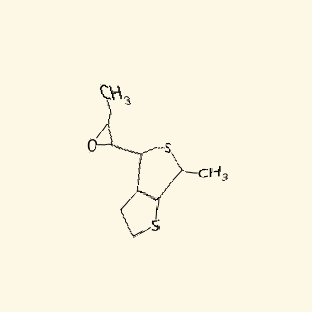 CC1OC1C1SC(C)C2SCCC21